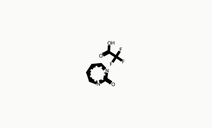 O=C(O)C(F)(F)F.O=c1nccccn1